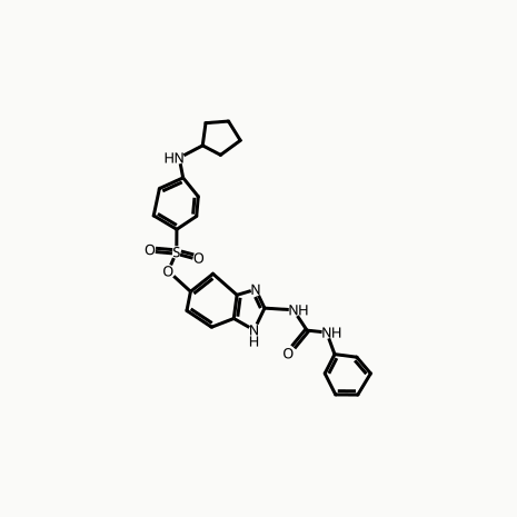 O=C(Nc1ccccc1)Nc1nc2cc(OS(=O)(=O)c3ccc(NC4CCCC4)cc3)ccc2[nH]1